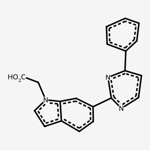 O=C(O)Cn1ccc2ccc(-c3nccc(-c4ccccc4)n3)cc21